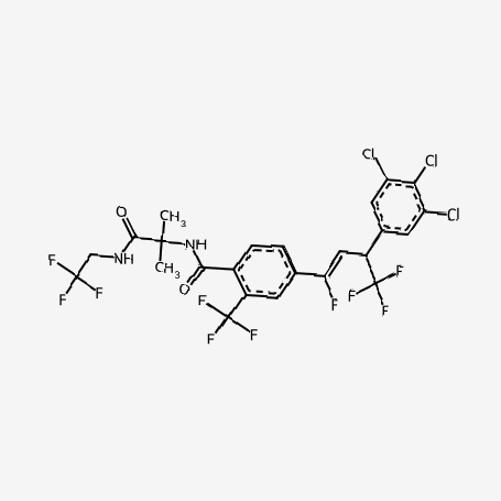 CC(C)(NC(=O)c1ccc(/C(F)=C/C(c2cc(Cl)c(Cl)c(Cl)c2)C(F)(F)F)cc1C(F)(F)F)C(=O)NCC(F)(F)F